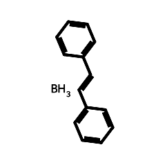 B.C(=Cc1ccccc1)c1ccccc1